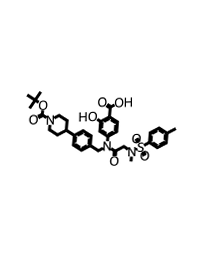 Cc1ccc(S(=O)(=O)N(C)CC(=O)N(Cc2ccc(C3CCN(C(=O)OC(C)(C)C)CC3)cc2)c2ccc(C(=O)O)c(O)c2)cc1